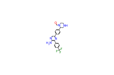 Nc1ncc(-c2ccc(C3CNCCN3C=O)cc2)nc1-c1ccc(C(F)(F)F)cc1